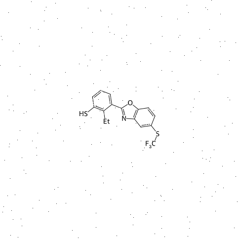 CCc1c(S)cccc1-c1nc2cc(SC(F)(F)F)ccc2o1